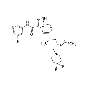 C=N/C=C(\C=C(/C)c1ccc2[nH]nc(C(=O)Nc3cncc(F)c3)c2c1)CN1CCC(F)(F)CC1